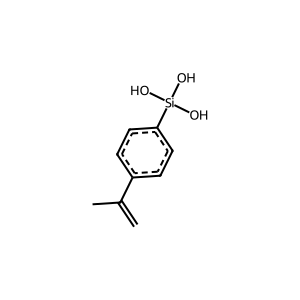 C=C(C)c1ccc([Si](O)(O)O)cc1